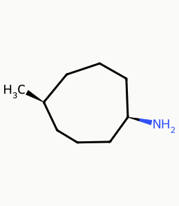 C[C@H]1CCC[C@@H](N)CCC1